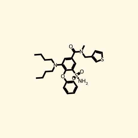 CCCCN(CCCC)c1cc(C(=O)N(C)Cc2ccsc2)cc(S(N)(=O)=O)c1Oc1ccccc1